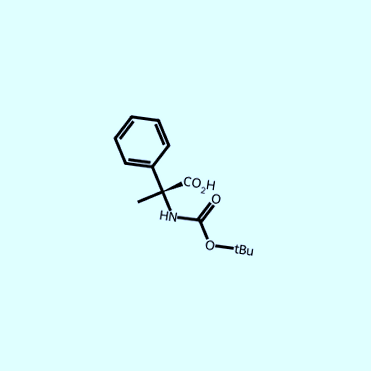 CC(C)(C)OC(=O)N[C@@](C)(C(=O)O)c1ccccc1